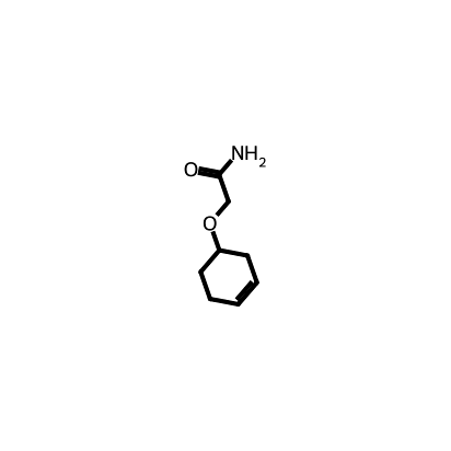 NC(=O)COC1CC=CCC1